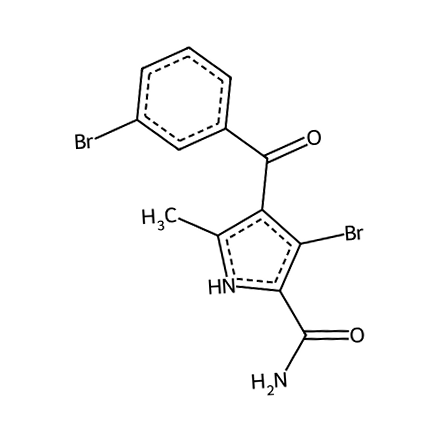 Cc1[nH]c(C(N)=O)c(Br)c1C(=O)c1cccc(Br)c1